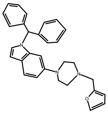 c1ccc(C(c2ccccc2)n2ccc3ccc(N4CCN(Cc5ccco5)CC4)cc32)cc1